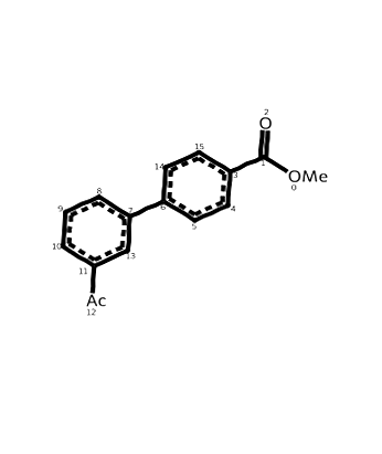 COC(=O)c1ccc(-c2cccc(C(C)=O)c2)cc1